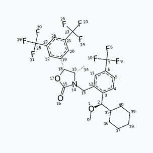 CO[C@@H](c1ccc(C(F)(F)F)cc1CN1C(=O)O[C@H](c2cc(C(F)(F)F)cc(C(F)(F)F)c2)[C@@H]1C)C1CCCCC1